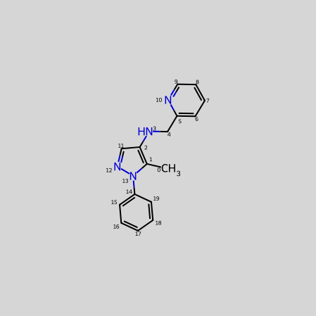 Cc1c(NCc2ccccn2)cnn1-c1ccccc1